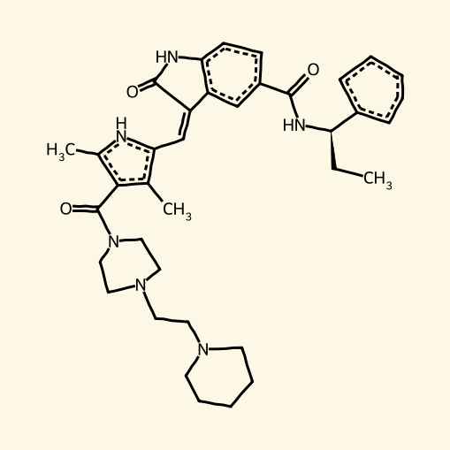 CC[C@@H](NC(=O)c1ccc2c(c1)/C(=C/c1[nH]c(C)c(C(=O)N3CCN(CCN4CCCCC4)CC3)c1C)C(=O)N2)c1ccccc1